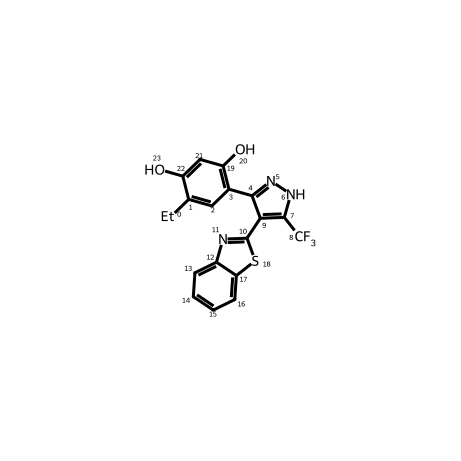 CCc1cc(-c2n[nH]c(C(F)(F)F)c2-c2nc3ccccc3s2)c(O)cc1O